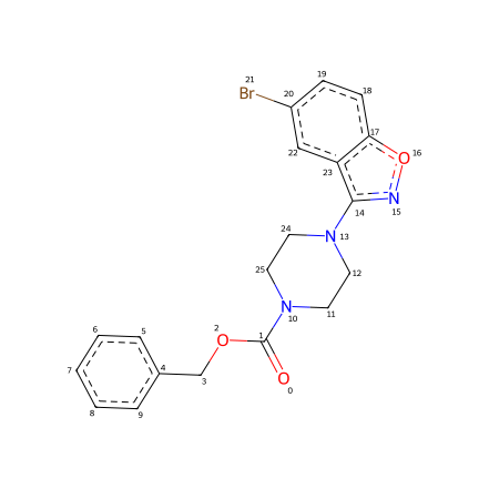 O=C(OCc1ccccc1)N1CCN(c2noc3ccc(Br)cc23)CC1